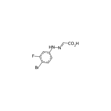 O=C(O)C=NNc1ccc(Br)c(F)c1